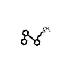 COCC=Cc1ccccc1C#Cc1ccccc1-c1ccccc1